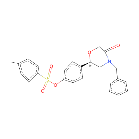 Cc1ccc(S(=O)(=O)Oc2ccc([C@@H]3CN(Cc4ccccc4)C(=O)CO3)cc2)cc1